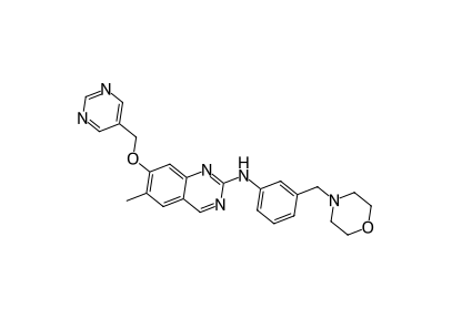 Cc1cc2cnc(Nc3cccc(CN4CCOCC4)c3)nc2cc1OCc1cncnc1